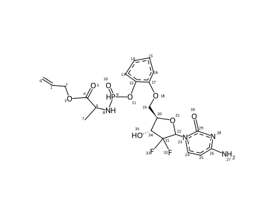 C=CCOC(=O)C(C)N[PH](=O)Oc1ccccc1OC[C@H]1OC(n2ccc(N)nc2=O)C(F)(F)[C@@H]1O